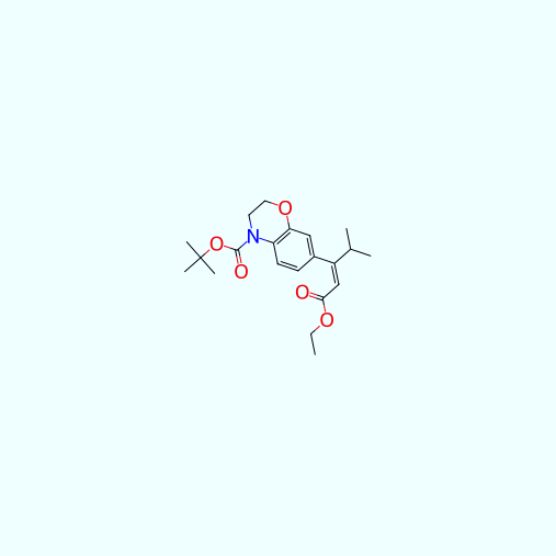 CCOC(=O)/C=C(\c1ccc2c(c1)OCCN2C(=O)OC(C)(C)C)C(C)C